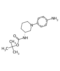 CC(C)(C)OC(=O)N[C@@H]1CCCN(c2ccc(N)cc2)C1